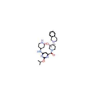 CC(C)Oc1nc(NC2CCNCC2)cc(C(=O)N2CC[C@@H](N3CCc4ccccc4C3)[C@H](O)C2)n1